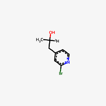 [2H]C(C)(O)Cc1ccnc(Br)c1